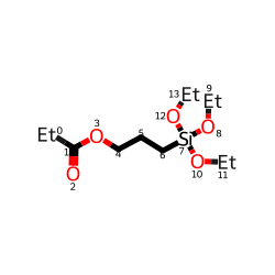 [CH2]CC(=O)OCCC[Si](OCC)(OCC)OCC